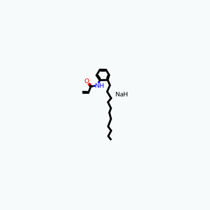 C=CC(=O)Nc1ccccc1CCCCCCCCCCC.[NaH]